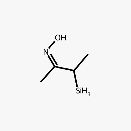 CC(=NO)C(C)[SiH3]